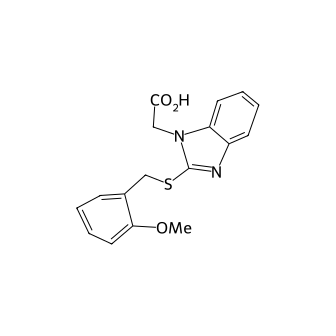 COc1ccccc1CSc1nc2ccccc2n1CC(=O)O